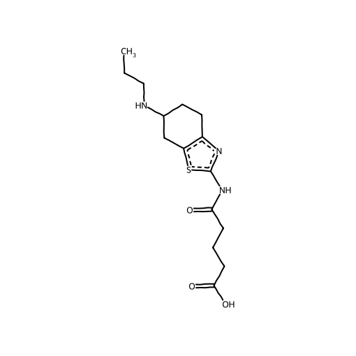 CCCNC1CCc2nc(NC(=O)CCCC(=O)O)sc2C1